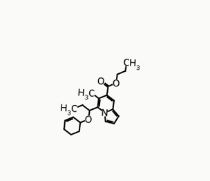 CCCOC(=O)c1cc2cccn2c(C(CC)OC2C=CCCC2)c1C